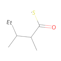 CCC(C)C(C)C(=O)[S]